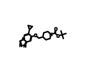 CC(C)(C)OC(=O)N1CCC(COc2cc3nncn3cc2C2CC2)CC1